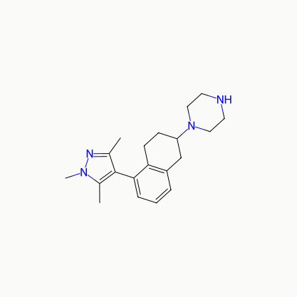 Cc1nn(C)c(C)c1-c1cccc2c1CCC(N1CCNCC1)C2